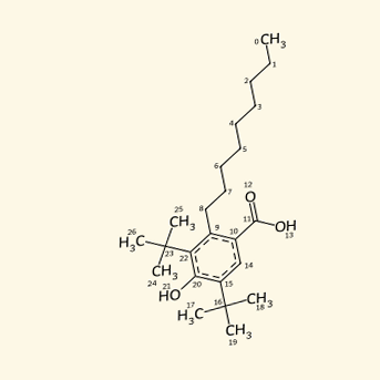 CCCCCCCCCc1c(C(=O)O)cc(C(C)(C)C)c(O)c1C(C)(C)C